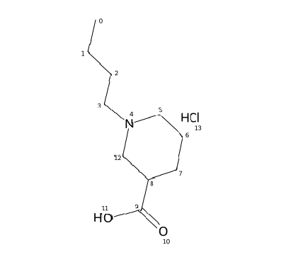 CCCCN1CCCC(C(=O)O)C1.Cl